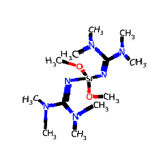 CO[Si](N=C(N(C)C)N(C)C)(N=C(N(C)C)N(C)C)OC